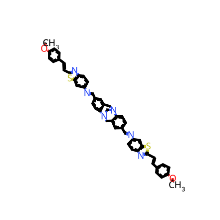 COc1ccc(/C=C/c2nc3ccc(/N=C/c4ccc5c(c4)CN4CN5Cc5cc(/C=N/c6ccc7nc(/C=C/c8ccc(OC)cc8)sc7c6)ccc54)cc3s2)cc1